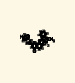 Cn1nc(CN2c3nc(NC[C@H]4OC[C@@H]5CC54)cc(=O)n3CC[C@H]2C(F)(F)F)c2ccccc21